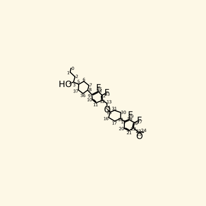 CCCC(O)C1CCC(c2ccc(COC3CCC(c4ccc(C5CO5)c(F)c4F)CC3)c(F)c2F)CC1